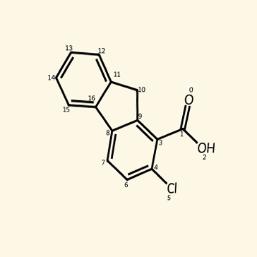 O=C(O)c1c(Cl)ccc2c1Cc1ccccc1-2